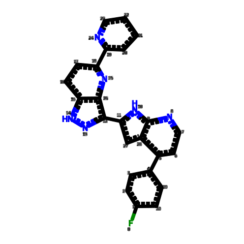 Fc1ccc(-c2ccnc3[nH]c(-c4n[nH]c5ccc(-c6ccccn6)nc45)cc23)cc1